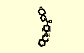 O=C(c1cnc(NCc2ccccc2F)nc1)N1CCC2(CCOCC2)C1